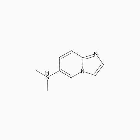 C[SH](C)c1ccc2nccn2c1